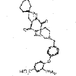 CCCCN1C(=O)[C@@H](CC2(O)CCCCC2)NC(=O)C12CCN(Cc1ccc(Oc3ccc(C(=O)O)cc3OC)cc1)CC2